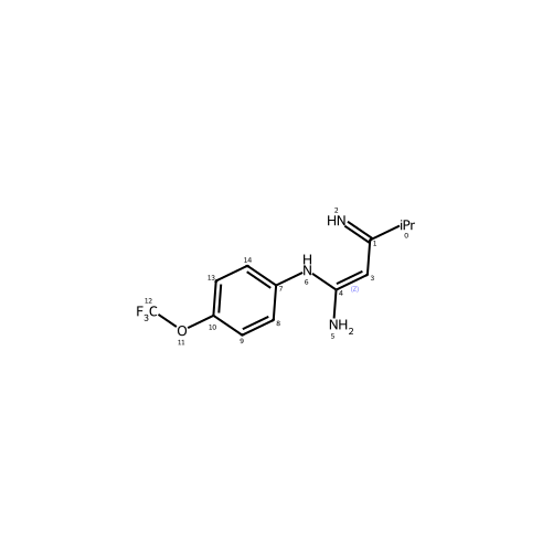 CC(C)C(=N)/C=C(/N)Nc1ccc(OC(F)(F)F)cc1